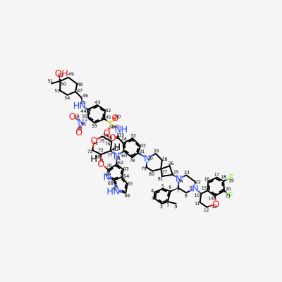 Cc1ccccc1[C@@H]1CN([C@@H]2CCOc3c2ccc(F)c3F)CCN1C1CC2(CCN(c3ccc(C(=O)NS(=O)(=O)c4ccc(NCC5CCC(C)(O)CC5)c([N+](=O)[O-])c4)c(N4c5cc6cc[nH]c6nc5O[C@H]5COCC[C@@H]54)c3)CC2)C1